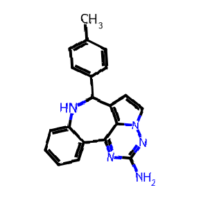 Cc1ccc(C2Nc3ccccc3-c3nc(N)nn4ccc2c34)cc1